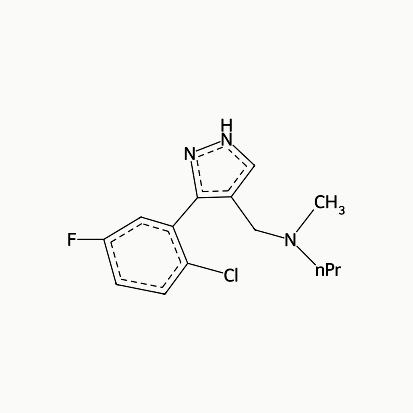 CCCN(C)Cc1c[nH]nc1-c1cc(F)ccc1Cl